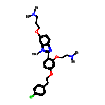 CCCCn1c(-c2ccc(OCCc3ccc(Cl)cc3)cc2OCCN(CC)CC)nc2ccc(OCCCN(CC)CC)cc21